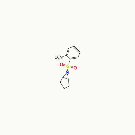 O=[N+]([O-])c1ccccc1S(=O)(=O)N1C2CCCC21